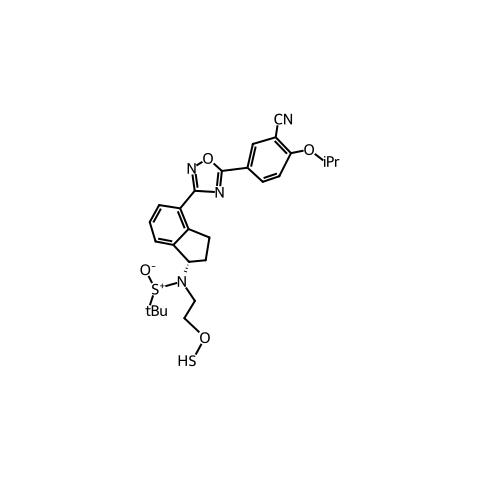 CC(C)Oc1ccc(-c2nc(-c3cccc4c3CC[C@@H]4N(CCOS)[S+]([O-])C(C)(C)C)no2)cc1C#N